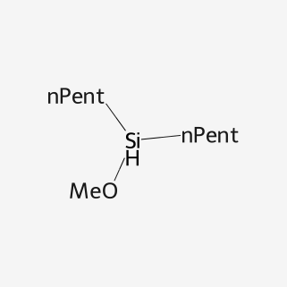 CCCCC[SiH](CCCCC)OC